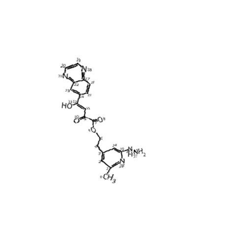 Cc1cc(CCOC(=O)C(=O)/C=C(\O)c2ccc3nccnc3c2)cc(NN)n1